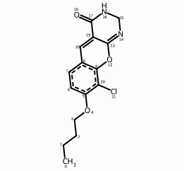 CCCCOc1ccc2c(c1Cl)OC1=NCNC(=O)C1=C2